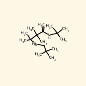 C=C(NC(C)(C)C)C(C)(C)C(C)(C)BCC(C)(C)C